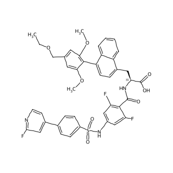 CCOCc1cc(OC)c(-c2ccc(C[C@H](NC(=O)c3c(F)cc(NS(=O)(=O)c4ccc(-c5ccnc(F)c5)cc4)cc3F)C(=O)O)c3ccccc23)c(OC)c1